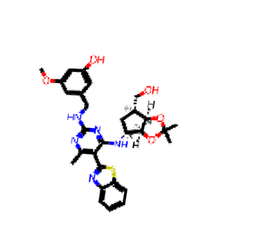 COc1cc(O)cc(CNc2nc(C)c(-c3nc4ccccc4s3)c(N[C@@H]3C[C@H](CO)[C@H]4OC(C)(C)O[C@H]43)n2)c1